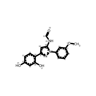 COc1cccc(-n2nc(-c3ccc(O)cc3O)cc2NC=O)c1